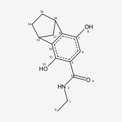 CCNC(=O)c1cc(O)c2c(c1O)C1CCC2C1